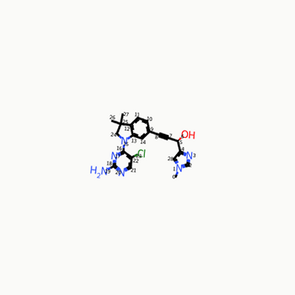 Cn1cnc([C@H](O)C#Cc2ccc3c(c2)N(c2nc(N)ncc2Cl)CC3(C)C)c1